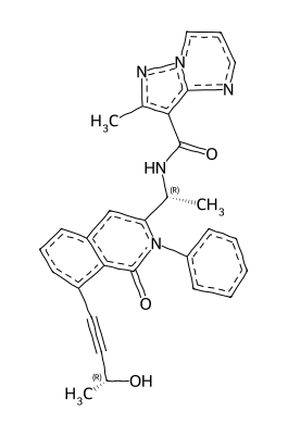 Cc1nn2cccnc2c1C(=O)N[C@H](C)c1cc2cccc(C#C[C@@H](C)O)c2c(=O)n1-c1ccccc1